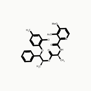 COc1ccnc(C(=O)N[C@@H](C)C(=O)O[C@@H](C)[C@H](Oc2ccc(C)cc2Cl)c2ccccc2)c1OC(C)=O